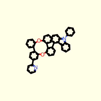 c1ccc(-n2c3ccccc3c3c(-c4cccc5c4-c4ccccc4Oc4ccccc4-c4ccc(-c6ccccn6)cc4O5)cccc32)cc1